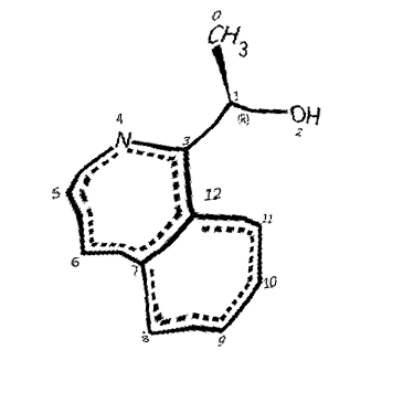 C[C@@H](O)c1nccc2[c]cccc12